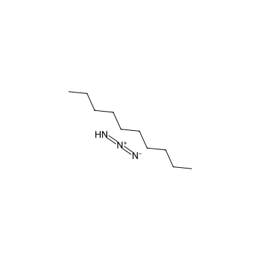 CCCCCCCCCC.[N-]=[N+]=N